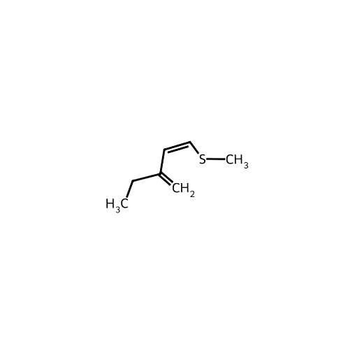 C=C(/C=C\SC)CC